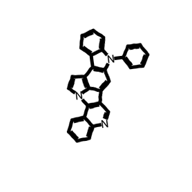 c1ccc(-n2c3ccccc3c3c4ccn5c6c7ccccc7ncc6c(cc32)c45)cc1